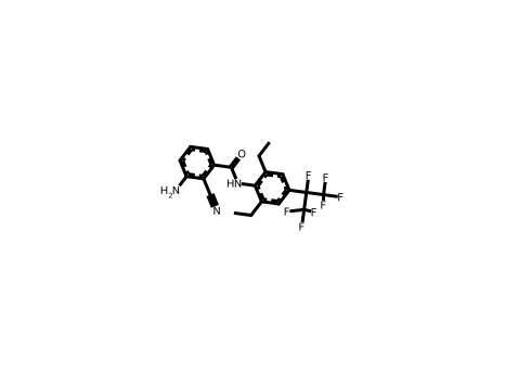 CCc1cc(C(F)(C(F)(F)F)C(F)(F)F)cc(CC)c1NC(=O)c1cccc(N)c1C#N